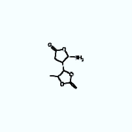 BC1OC(=O)CC1C1OC(=C)OC1C